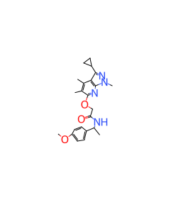 COc1ccc(C(C)NC(=O)COc2nc3c(c(C4CC4)nn3C)c(C)c2C)cc1